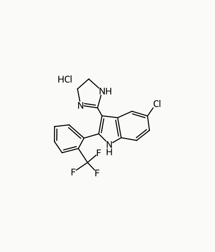 Cl.FC(F)(F)c1ccccc1-c1[nH]c2ccc(Cl)cc2c1C1=NCCN1